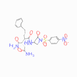 NC(=O)C[C@H](C(N)=O)C(CCc1ccccc1)C(=O)N[C@@H]1CN(S(=O)(=O)c2ccc([N+](=O)[O-])cc2)C1=O